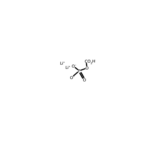 O=C(O)OP(=O)([O-])[O-].[Li+].[Li+]